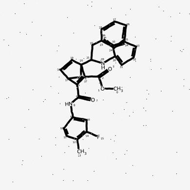 COC(=O)C1=C(C(=O)Nc2ccc(C)c(F)c2)C2C=CC1(C(Cc1ccccc1)Nc1ccccc1F)O2